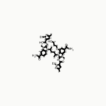 CCn1nc(C)cc1C(=O)/N=c1\n(C)c2cc(C(N)=O)cc(OCCCO)c2n1C(C)CCC(C)n1/c(=N/C(O)c2cc(C)nn2CC)n(C)c2cc(C(N)=O)ccc21